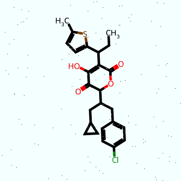 CCC(C1=C(O)C(=O)C(C(Cc2ccc(Cl)cc2)CC2CC2)OC1=O)c1ccc(C)s1